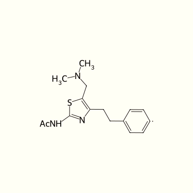 CC(=O)Nc1nc(CCc2cc[c]cc2)c(CN(C)C)s1